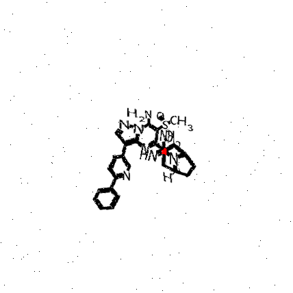 CS(=O)(=O)c1c(C2CC3CC[C@@H](C2)N3C(=N)N)nc2c(-c3ccc(-c4ccccc4)nc3)cnn2c1N